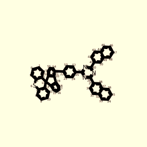 c1ccc2c(c1)Sc1ccccc1C21c2ccccc2-c2c(-c3ccc(-c4nc(-c5ccc6ccccc6c5)nc(-c5ccc6ccccc6c5)n4)cc3)cccc21